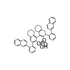 O=P1(O)OC2=C(C3=C(CCCC3)CC2c2ccccc2-c2ccc3ccccc3c2)c2c3c(cc(-c4ccccc4-c4ccc5ccccc5c4)c2O1)CCCC3